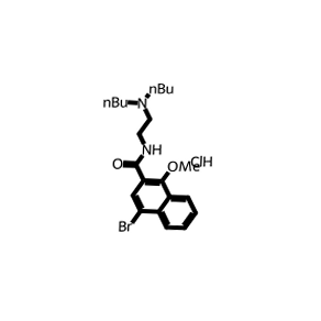 CCCCN(CCCC)CCNC(=O)c1cc(Br)c2ccccc2c1OC.Cl